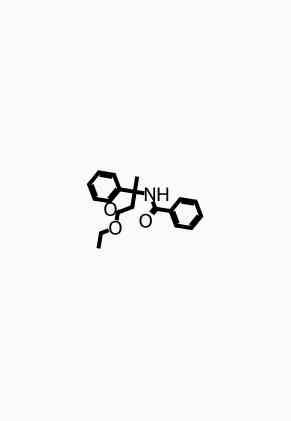 CCOC(=O)CC(C)(NC(=O)c1ccccc1)c1ccccc1